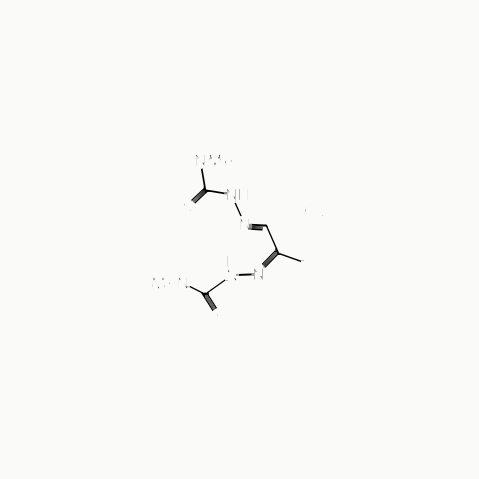 CCC(C=NNC(=S)NC)=NNC(=S)NC.[Cu]